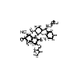 CN(c1c(C#N)c(=O)n(C)c2cc(OC3CCOC3)c(C#N)nc12)C1CCC(C(=NOC(C)(C)C)c2ccccc2)CC1